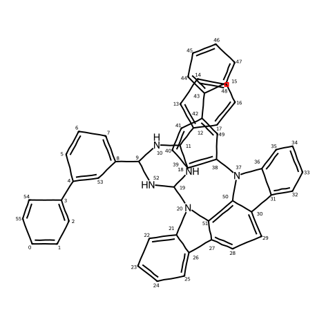 c1ccc(-c2cccc(C3NC(c4ccccc4)NC(n4c5ccccc5c5ccc6c7ccccc7n(-c7cccc(-c8ccccc8)c7)c6c54)N3)c2)cc1